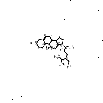 CCC(CCC(C)[C@H]1CCC2C3CC=C4C[C@@H](O)CC[C@]4(C)C3CC[C@@]21C)C(C)C